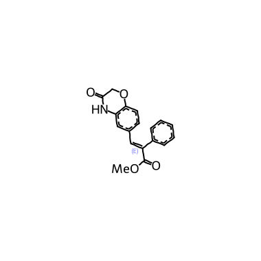 COC(=O)/C(=C/c1ccc2c(c1)NC(=O)CO2)c1ccccc1